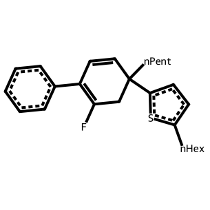 CCCCCCc1ccc(C2(CCCCC)C=CC(c3ccccc3)=C(F)C2)s1